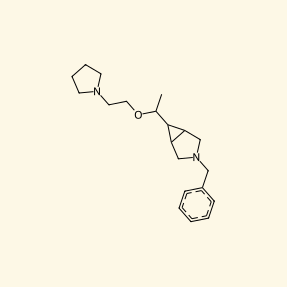 CC(OCCN1CCCC1)C1C2CN(Cc3ccccc3)CC21